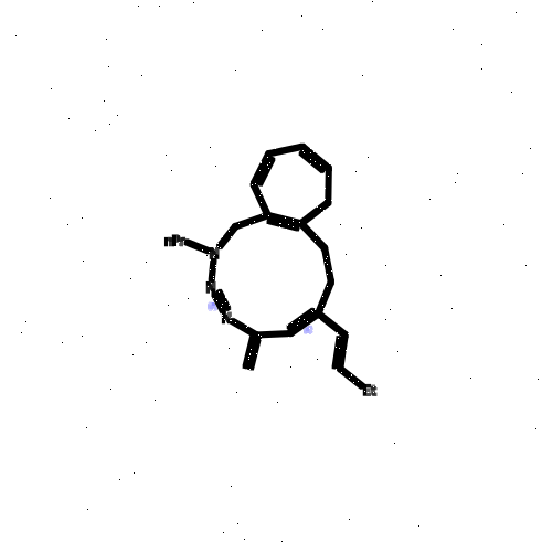 C=C1/C=C(/C=CCC)CCC2=C(C=CC=CC2)CN(CCC)/N=N\1